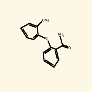 COc1ccccc1Oc1ccccc1C(N)=O